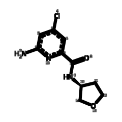 Nc1cc(Cl)cc(C(=O)N[C@H]2CCOC2)n1